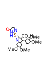 COc1ccc(-c2c(C(=O)O)c(CSc3nccc(=O)[nH]3)nc3cc(OC)c(OC)cc23)cc1OC